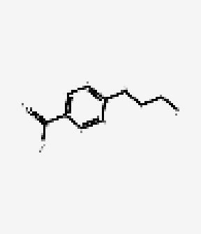 CCCCc1ccc(C(=O)S)cc1